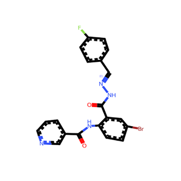 O=C(Nc1ccc(Br)cc1C(=O)N/N=C/c1ccc(F)cc1)c1cccnc1